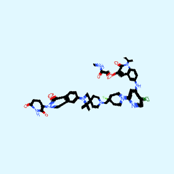 CNC(=O)COc1cc2cc(Nc3cc(N4CCC(F)(CN5CCC6(CC5)CN(c5ccc7c(c5)CN(C5CCC(=O)NC5=O)C7=O)C6(C)C)CC4)ncc3Cl)ccc2n(C(C)C)c1=O